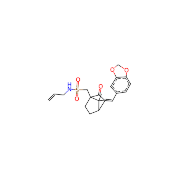 C=CCNS(=O)(=O)CC12CCC(C(=Cc3ccc4c(c3)OCO4)C1=O)C2(C)C